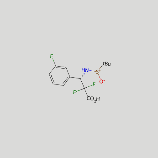 CC(C)(C)[S+]([O-])N[C@@H](c1cccc(F)c1)C(F)(F)C(=O)O